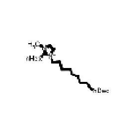 CCCCCCCCCCCCCCCCCCC[n+]1ccn(C)c1CCCCCC